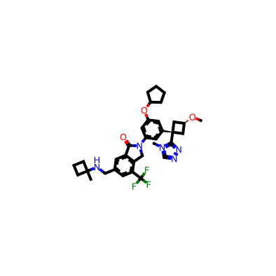 CO[C@H]1C[C@@](c2cc(OC3CCCC3)cc(N3Cc4c(cc(CNC5(C)CCC5)cc4C(F)(F)F)C3=O)c2)(c2nncn2C)C1